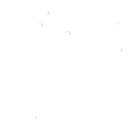 CCn1ccc(C2CC3CC(O)CC3C2)c1C(=O)Nc1ccc(F)c(Cl)c1